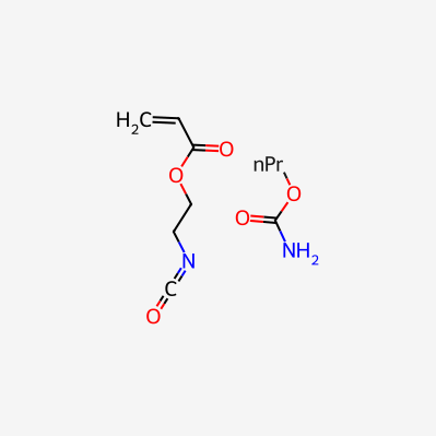 C=CC(=O)OCCN=C=O.CCCOC(N)=O